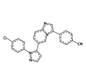 N#Cc1ccc(-c2cnc3ccc(-c4ccnn4-c4ccc(Cl)cc4)cn23)cc1